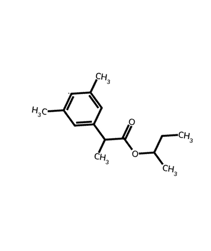 CCC(C)OC(=O)C(C)c1cc(C)[c]c(C)c1